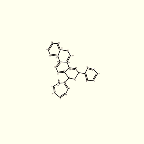 C1=CC=C(C2CC(c3ccccc3)C=c3c2ccc2c3=CCc3ccccc3-2)NC=C1